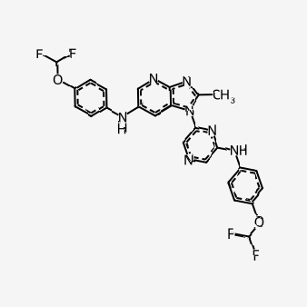 Cc1nc2ncc(Nc3ccc(OC(F)F)cc3)cc2n1-c1cncc(Nc2ccc(OC(F)F)cc2)n1